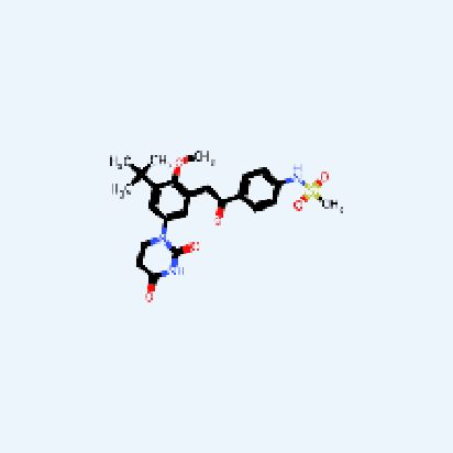 COc1c(CC(=O)c2ccc(NS(C)(=O)=O)cc2)cc(N2CCC(=O)NC2=O)cc1C(C)(C)C